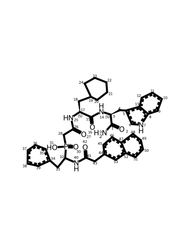 NC(=O)[C@H](Cc1c[nH]c2ccccc12)NC(=O)[C@H](CC1CCCCC1)NC(=O)CP(=O)(O)C(Cc1ccccc1)NC(=O)Cc1ccc2ccccc2c1